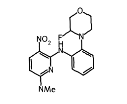 CNc1ccc([N+](=O)[O-])c(Nc2ccccc2N2CCOCC2F)n1